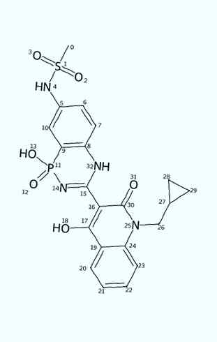 CS(=O)(=O)Nc1ccc2c(c1)P(=O)(O)N=C(c1c(O)c3ccccc3n(CC3CC3)c1=O)N2